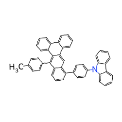 Cc1ccc(-c2c3cccc(-c4ccc(-n5c6ccccc6c6ccccc65)cc4)c3cc3c4ccccc4c4ccccc4c23)cc1